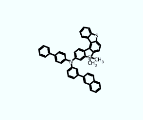 C[Si]1(C)c2cc(N(c3ccc(-c4ccccc4)cc3)c3cccc(-c4ccc5ccccc5c4)c3)ccc2-c2c1ccc1sc3ccccc3c21